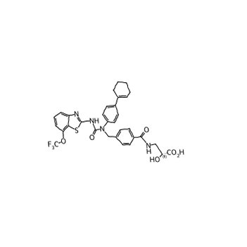 O=C(NC[C@@H](O)C(=O)O)c1ccc(CN(C(=O)Nc2nc3cccc(OC(F)(F)F)c3s2)c2ccc(C3=CCCCC3)cc2)cc1